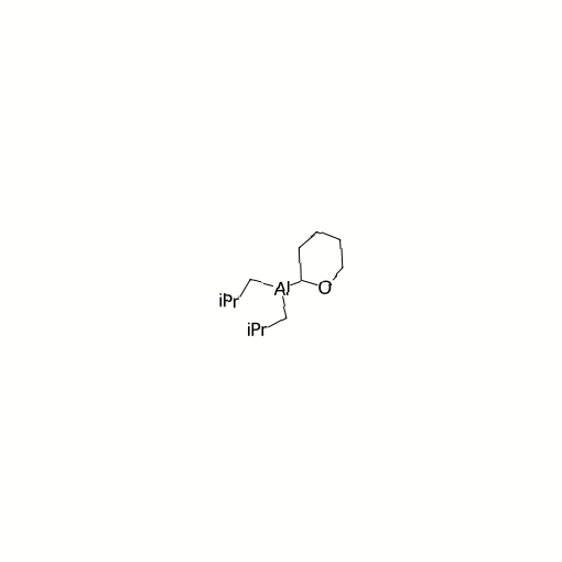 CC(C)[CH2][Al]([CH2]C(C)C)[CH]1CCCCO1